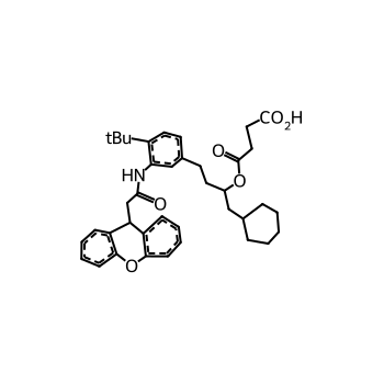 CC(C)(C)c1ccc(CCC(CC2CCCCC2)OC(=O)CCC(=O)O)cc1NC(=O)CC1c2ccccc2Oc2ccccc21